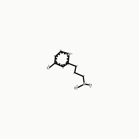 CCN([CH]CCc1cc(Cl)ccn1)CC